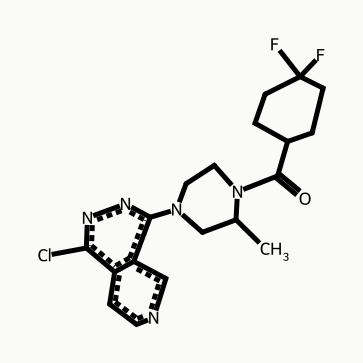 CC1CN(c2nnc(Cl)c3ccncc23)CCN1C(=O)C1CCC(F)(F)CC1